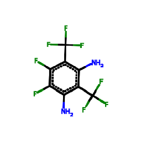 Nc1c(F)c(F)c(C(F)(F)F)c(N)c1C(F)(F)F